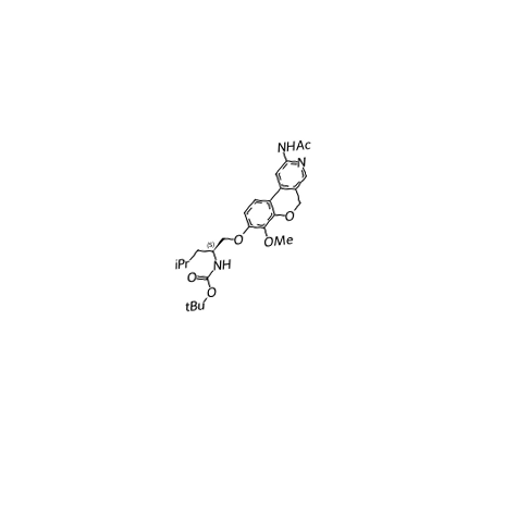 COc1c(OC[C@H](CC(C)C)NC(=O)OC(C)(C)C)ccc2c1OCc1cnc(NC(C)=O)cc1-2